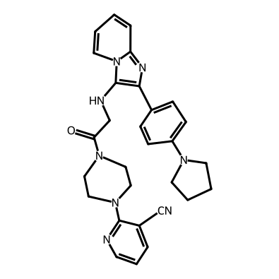 N#Cc1cccnc1N1CCN(C(=O)CNc2c(-c3ccc(N4CCCC4)cc3)nc3ccccn23)CC1